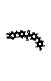 C[C@H]1CN(Cc2ccc(N(C)C(=O)C3CCN(Cc4ccc(F)cc4)CC3)cc2)CCN1